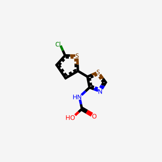 O=C(O)Nc1ncsc1-c1ccc(Cl)s1